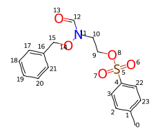 Cc1ccc(S(=O)(=O)OCCN(C=O)OCc2ccccc2)cc1